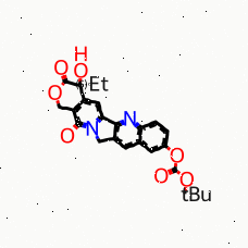 CC[C@@]1(O)C(=O)OCc2c1cc1n(c2=O)Cc2cc3cc(OC(=O)OC(C)(C)C)ccc3nc2-1